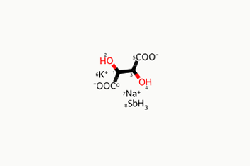 O=C([O-])C(O)C(O)C(=O)[O-].[K+].[Na+].[SbH3]